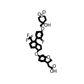 O=C(O)CC1COc2cc(OC3CCc4c3ccc(C(F)(F)F)c4-c3ccc(OCC4(O)CCS(=O)(=O)CC4)cc3F)ccc21